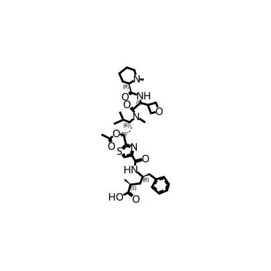 CC(=O)O[C@H](C[C@H](C(C)C)N(C)C(=O)[C@@H](NC(=O)[C@H]1CCCCN1C)C1COC1)c1nc(C(=O)N[C@@H](Cc2ccccc2)C[C@H](C)C(=O)O)cs1